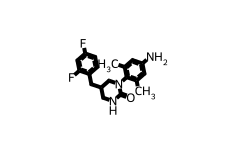 Cc1cc(N)cc(C)c1N1CC(Cc2ccc(F)cc2F)CNC1=O